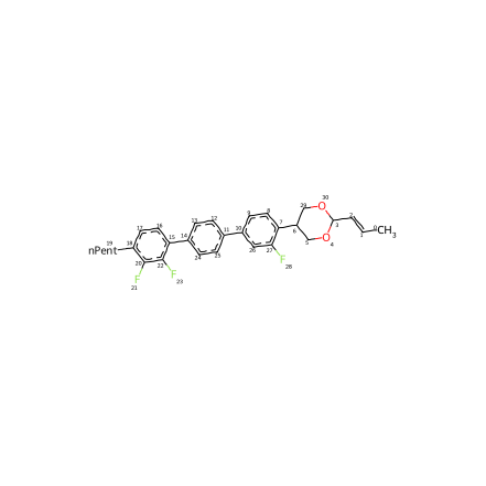 C/C=C/C1OCC(c2ccc(-c3ccc(-c4ccc(CCCCC)c(F)c4F)cc3)cc2F)CO1